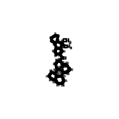 CC1(C)c2ccccc2-c2ccc(Nc3ccc(-c4cccc5cccc(-c6ccccc6)c45)cc3)cc21